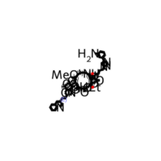 CC[C@H]1OC(=O)[C@H](C)C(=O)C[C@@H](O[C@@H]2O[C@H](C)C(OC/C=C/c3cnc4ccccc4c3)C(N(C)C)C2O)[C@](C)(OC)C[C@@H](C)CN[C@H](C)[C@H]2N(CCCCn3cc(-c4cccc(N)c4)nn3)C(=O)O[C@]12C